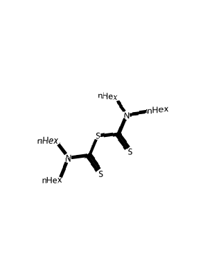 CCCCCCN(CCCCCC)C(=S)SC(=S)N(CCCCCC)CCCCCC